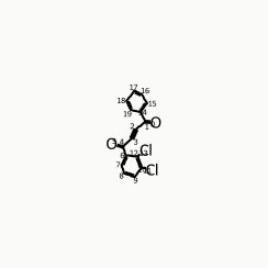 O=C(C#CC(=O)c1cccc(Cl)c1Cl)c1ccccc1